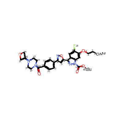 COCCOc1cc2c(cc1F)c(-c1cc(-c3ccc(C(=O)N4CCN(C5COC5)CC4)cc3)no1)nn2C(=O)OC(C)(C)C